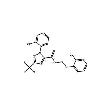 O=C(NCCc1ccccc1Cl)c1cc(C(F)(F)F)nn1-c1ccccc1Cl